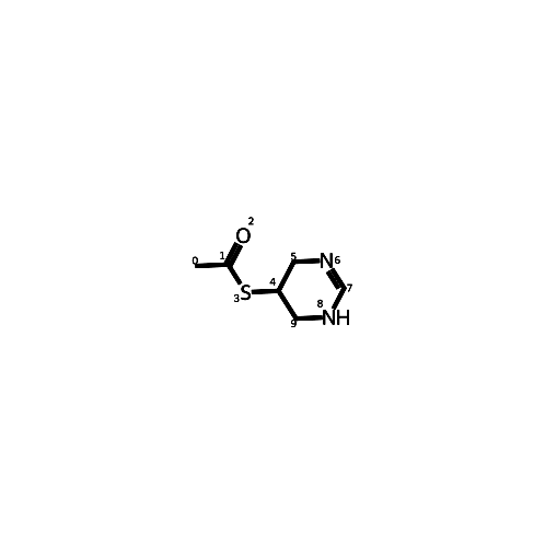 CC(=O)SC1CN=CNC1